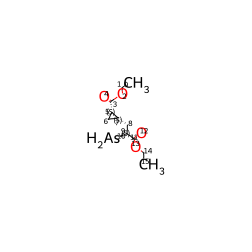 CCOC(=O)[C@H]1C[C@H]1C[C@H]([AsH2])C(=O)OCC